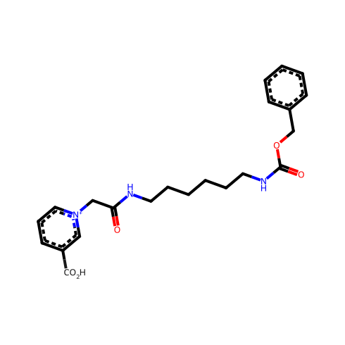 O=C(C[n+]1cccc(C(=O)O)c1)NCCCCCCNC(=O)OCc1ccccc1